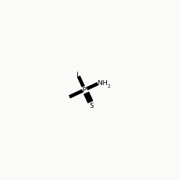 CP(N)(=S)I